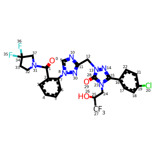 O=C(c1ccccc1-n1cnc(Cn2nc(-c3ccc(Cl)cc3)n(CC(O)C(F)(F)F)c2=O)n1)N1CCC(F)(F)C1